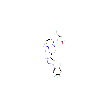 C[C@H](Nc1nccc(N2C(=O)OCC2CF)n1)c1cn(-c2cc(F)c(Cl)cc2F)cn1